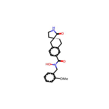 COc1ccccc1CN(O)C(=O)c1ccc2c(c1)CC[C@@]1(CCNC1=O)C2